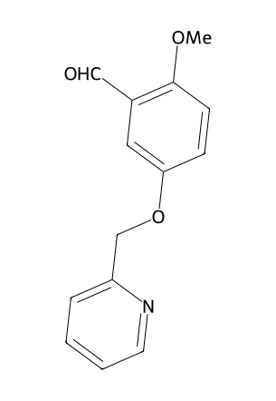 COc1ccc(OCc2ccccn2)cc1C=O